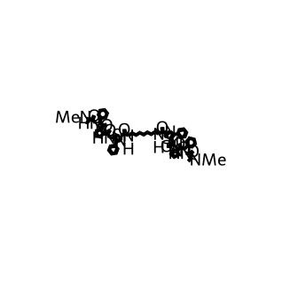 CN[C@@H](C)C(=O)N[C@H](C(=O)N1CCC[C@H]1C(=O)Nc1sc(C(=O)NCCCCCCCNC(=O)c2nc(-c3ccccc3)c(NC(=O)[C@@H]3CCCN3C(=O)[C@@H](NC(=O)[C@H](C)NC)C3CCCCC3)s2)nc1-c1ccccc1)C1CCCCC1